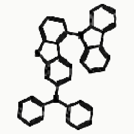 c1ccc(N(c2ccccc2)c2ccc3c(c2)sc2cccc(-n4c5ccccc5c5ccccc54)c23)cc1